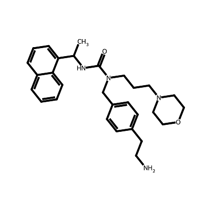 CC(NC(=O)N(CCCN1CCOCC1)Cc1ccc(CCN)cc1)c1cccc2ccccc12